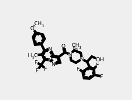 COc1ccc(-c2nc3c(C(=O)N4CCN(C(CO)c5c(F)ccc(F)c5F)C[C@H]4C)cnn3c(C(F)(F)F)c2C)cc1